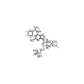 C[C@@H](Nc1nc(C#N)nc2c1ccn2[C@@H]1O[C@H](COCP(=O)(O)O)[C@H]2OC(C)(C)O[C@H]21)c1ccccc1